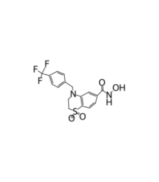 O=C(NO)c1ccc2c(c1)N(Cc1ccc(C(F)(F)F)cc1)CCS2(=O)=O